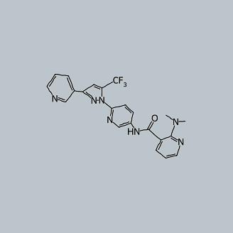 CN(C)c1ncccc1C(=O)Nc1ccc(-n2nc(-c3cccnc3)cc2C(F)(F)F)nc1